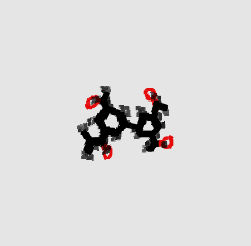 CC(=O)c1cc(C(C)=O)cc(-c2cc(C(C)=O)cc(C(=O)C(C)C)c2)c1